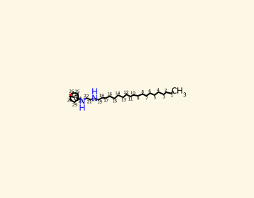 CCCCCCCCCCCCCCCCCCCCNCCNC12CCC(CC1)CC2